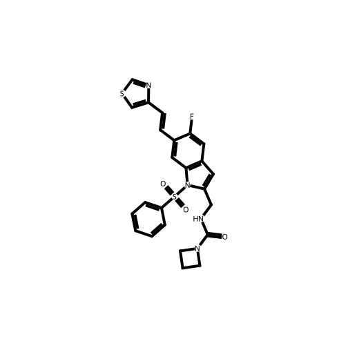 O=C(NCc1cc2cc(F)c(/C=C/c3cscn3)cc2n1S(=O)(=O)c1ccccc1)N1CCC1